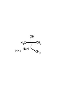 CCC(C)(C)O.[NaH].[NaH]